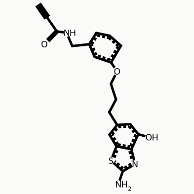 C#CC(=O)NCc1cccc(OCCCc2cc(O)c3nc(N)sc3c2)c1